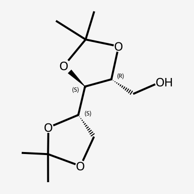 CC1(C)OC[C@@H]([C@H]2OC(C)(C)O[C@@H]2CO)O1